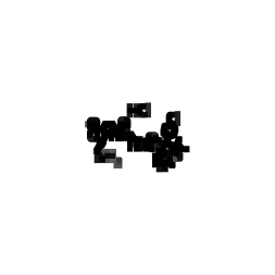 COC(=O)c1ccc(C(=O)NCCCNC(=O)C[C@@H]2N=C(c3ccc(Cl)cc3)c3c(sc(C)c3C)-n3c(C)nnc32)cc1C#CCN.Cl